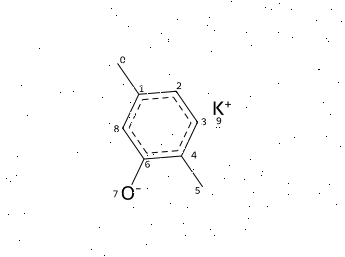 Cc1ccc(C)c([O-])c1.[K+]